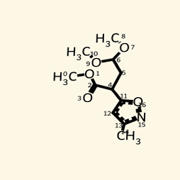 COC(=O)C(CC(OC)OC)c1cc(C)no1